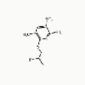 Cc1cc([N+](=O)[O-])c(N)nc1OCC(F)F